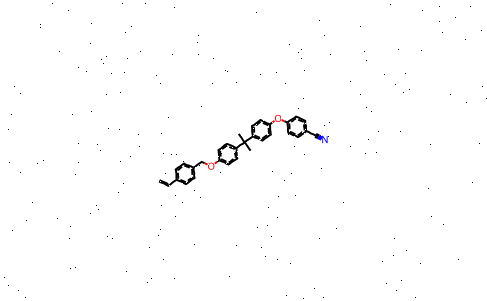 C=Cc1ccc(COc2ccc(C(C)(C)c3ccc(Oc4ccc(C#N)cc4)cc3)cc2)cc1